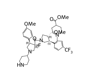 COC[C@H]1CN(C(=O)[C@]2(F)CN(C3CCNCC3)C[C@H]2c2ccc(OC)cc2)C[C@@H]1c1ccc(C(F)(F)F)cc1N1CCC(C(=O)OC)CC1